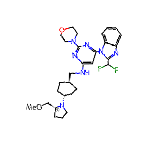 COC[C@@H]1CCCN1[C@H]1CC[C@H](CNc2cc(-n3c(C(F)F)nc4ccccc43)nc(N3CCOCC3)n2)CC1